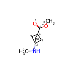 CNC12CC(C(=O)OC)(C1)C2